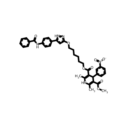 COC(=O)C1=C(C)NC(C)=C(C(=O)OCCCCCCOc2cc(-c3ccc(NC(=O)c4ccccc4)cc3)[nH]n2)C1c1cccc([N+](=O)[O-])c1